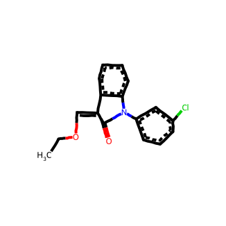 CCOC=C1C(=O)N(c2cccc(Cl)c2)c2ccccc21